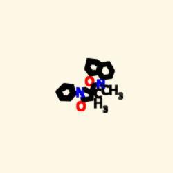 CN(C(=O)C1(C)CC(=O)N(c2ccccc2)C1)C1CCCc2ccccc21